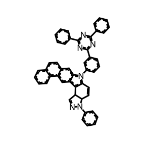 C1=CC2C(C=NN2c2ccccc2)c2c1n(-c1cccc(-c3nc(-c4ccccc4)nc(-c4ccccc4)n3)c1)c1cc3ccc4ccccc4c3cc21